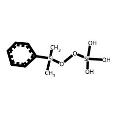 C[Si](C)(OO[Si](O)(O)O)c1ccccc1